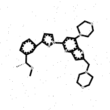 CO[C@H](C)c1cccc(-c2ccn(-c3cc(N4CCOCC4)c4sc(CN5CCOCC5)cc4n3)n2)c1